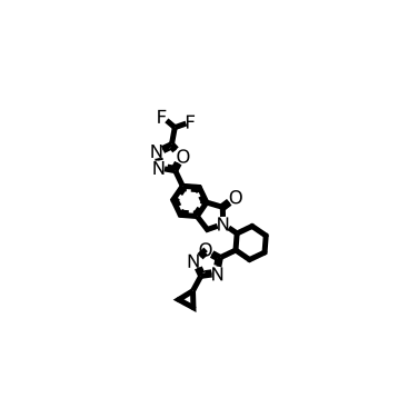 O=C1c2cc(-c3nnc(C(F)F)o3)ccc2CN1C1CCCCC1c1nc(C2CC2)no1